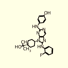 CC(C)(O)[C@H]1CC[C@@H](n2c(Nc3ccccc3F)nc3cnc(Nc4ccc(O)cc4)nc32)CC1